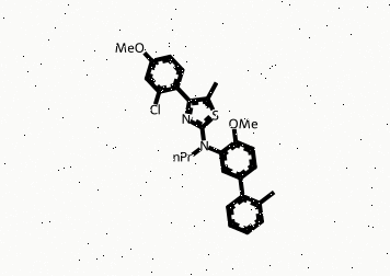 CCCN(c1nc(-c2ccc(OC)cc2Cl)c(C)s1)c1cc(-c2ccccc2C)ccc1OC